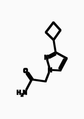 NC(=O)Cn1ccc(C2CCC2)n1